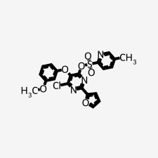 COc1cccc(Oc2c(Cl)nc(-c3ccco3)nc2OS(=O)(=O)c2ccc(C)cn2)c1